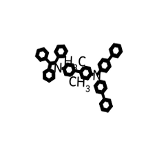 Cc1cc(N(c2ccc(-c3ccccc3)cc2)c2ccc(-c3ccccc3)cc2)ccc1-c1ccc(-n2c(-c3ccccc3)c(-c3ccccc3)c3ccccc32)cc1C